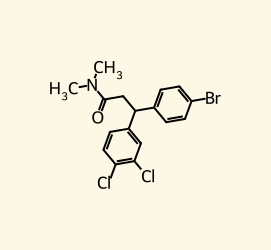 CN(C)C(=O)CC(c1ccc(Br)cc1)c1ccc(Cl)c(Cl)c1